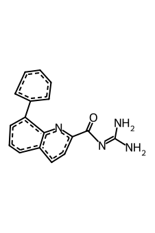 NC(N)=NC(=O)c1ccc2cccc(-c3ccccc3)c2n1